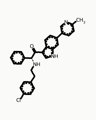 Cc1ccc(-c2ccc3c(C(=O)[C@H](NCCc4ccc(Cl)cc4)c4ccccc4)c[nH]c3c2)cn1